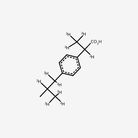 [2H]C([2H])([2H])C([2H])(C(=O)O)c1ccc(C([2H])([2H])C([2H])(C)C([2H])([2H])[2H])cc1